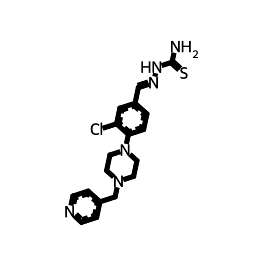 NC(=S)NN=Cc1ccc(N2CCN(Cc3ccncc3)CC2)c(Cl)c1